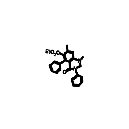 CCOC(=O)c1c(C)cc2c(c1-c1ccccc1)C(=O)N(c1ccccc1)CN2C